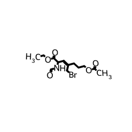 CCOC(=O)C(/C=C(\CBr)CCCOC(C)=O)NC=O